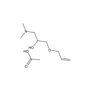 C=CCOCC(O)CN(C)C.CC(=O)O